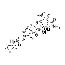 CN(C)[C@@H]1C(O)=C(C(N)=O)C(=O)C2(O)C(O)=C3C(=O)c4c(ccc(NCC(=O)NC5CCCC5)c4O)CC3CC12